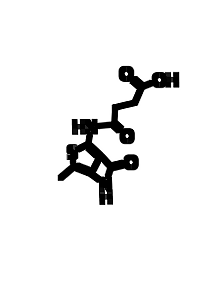 Cc1sc(NC(=O)CCC(=O)O)c2c1NC2=O